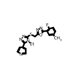 CCn1c(SCc2nnc(-c3cc(C)ccc3F)o2)nnc1-c1ccncc1